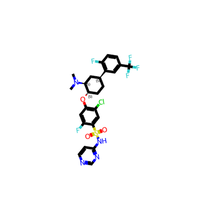 CN(C)[C@H]1C[C@@H](c2cc(C(F)(F)F)ccc2F)CC[C@@H]1Oc1cc(F)c(S(=O)(=O)Nc2ccncn2)cc1Cl